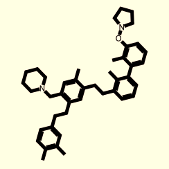 Cc1ccc(CCc2cc(CCc3cccc(-c4cccc(ON5CCCC5)c4C)c3C)c(C)cc2CN2CCCCC2)cc1C